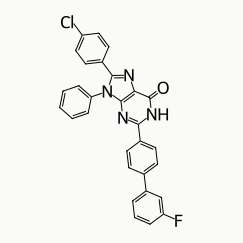 O=c1[nH]c(-c2ccc(-c3cccc(F)c3)cc2)nc2c1nc(-c1ccc(Cl)cc1)n2-c1ccccc1